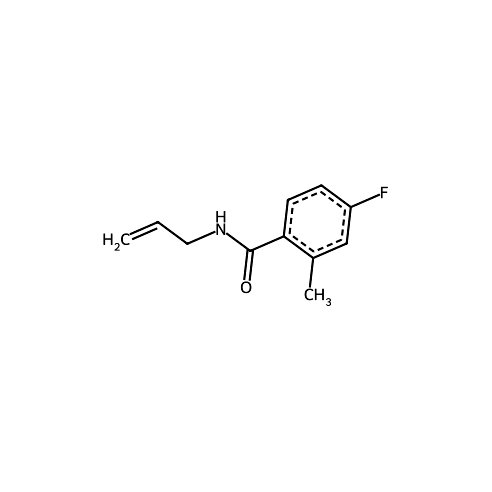 C=CCNC(=O)c1ccc(F)cc1C